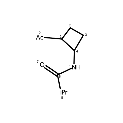 CC(=O)C1CCC1NC(=O)C(C)C